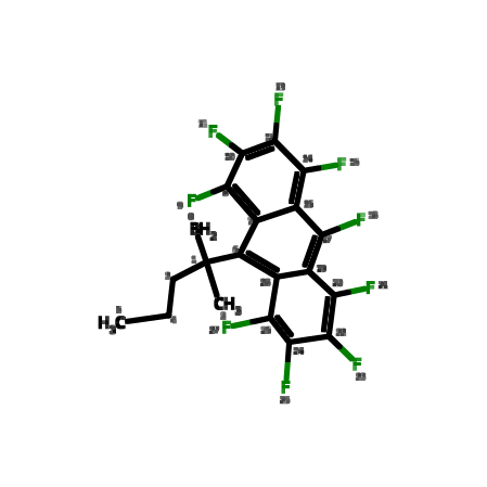 BC(C)(CCC)c1c2c(F)c(F)c(F)c(F)c2c(F)c2c(F)c(F)c(F)c(F)c12